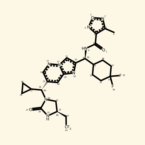 Cc1nonc1C(=O)N[C@H](c1cn2ncc([C@@H](C3CC3)N3C[C@@H](CC(F)(F)F)NC3=O)cc2n1)C1CCC(F)(F)CC1